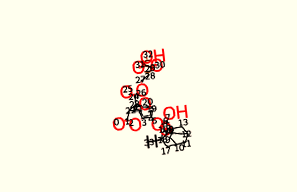 O=C1Oc2c(OC(O)C34CC5CC(C3)C(=O)[C@H](C5)C4)c3oc2c1c3C(=O)OCCS(=O)(=O)O